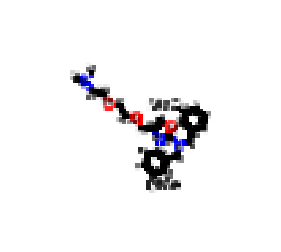 COc1cccc(CN(Cc2cccc(OC)c2)c2nc(COCCOCCN(C)C)co2)c1